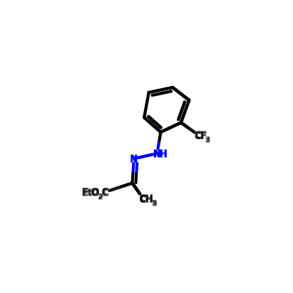 CCOC(=O)C(C)=NNc1ccccc1C(F)(F)F